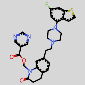 O=C(OCN1C(=O)CCc2ccc(CCN3CCN(c4cc(F)cc5sccc45)CC3)cc21)c1cncnc1